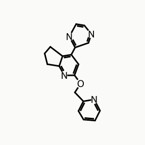 c1ccc(COc2cc(-c3cnccn3)c3c(n2)CCC3)nc1